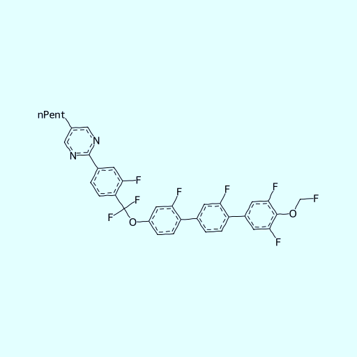 CCCCCc1cnc(-c2ccc(C(F)(F)Oc3ccc(-c4ccc(-c5cc(F)c(OCF)c(F)c5)c(F)c4)c(F)c3)c(F)c2)nc1